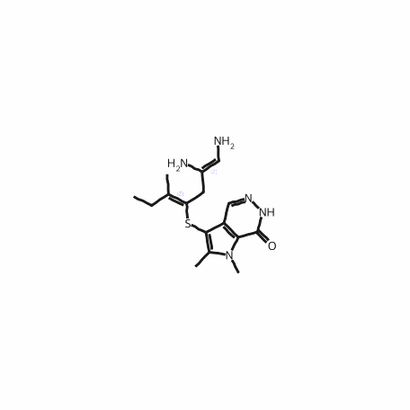 CC/C(C)=C(/C/C(N)=C/N)Sc1c(C)n(C)c2c(=O)[nH]ncc12